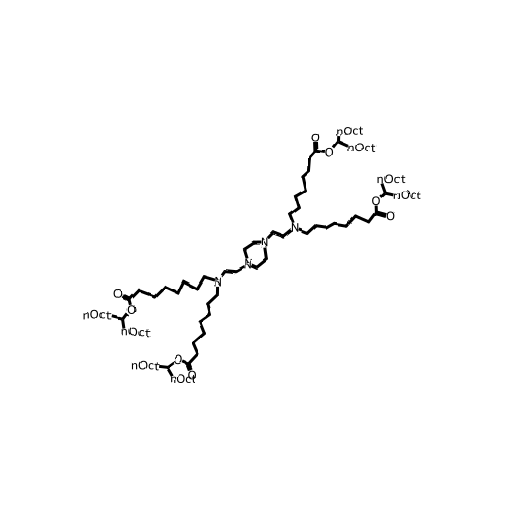 CCCCCCCCC(CCCCCCCC)OC(=O)CCCCCCCN(CCCCCCCC(=O)OC(CCCCCCCC)CCCCCCCC)CCN1CCN(CCN(CCCCCCCC(=O)OC(CCCCCCCC)CCCCCCCC)CCCCCCCC(=O)OC(CCCCCCCC)CCCCCCCC)CC1